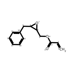 C=CC(=O)OCC1OC1Cc1ccccc1